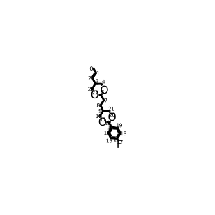 CC=CC1COC(CCC2COC(c3ccc(F)cc3)OC2)OC1